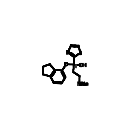 CNCC[C@@](O)(Oc1cccc2c1CCC2)c1nccs1